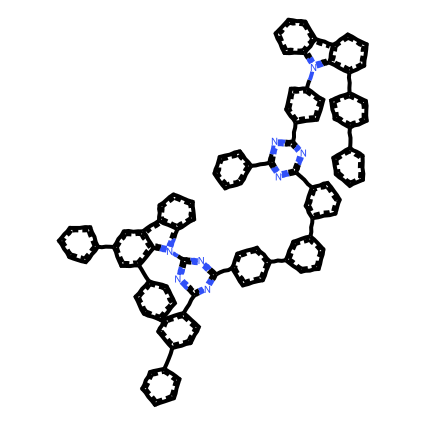 c1ccc(-c2ccc(-c3nc(-c4ccc(-c5cccc(-c6cccc(-c7nc(-c8ccccc8)nc(-c8ccc(-n9c%10ccccc%10c%10cccc(-c%11ccc(-c%12ccccc%12)cc%11)c%109)cc8)n7)c6)c5)cc4)nc(-n4c5ccccc5c5cc(-c6ccccc6)cc(-c6ccccc6)c54)n3)cc2)cc1